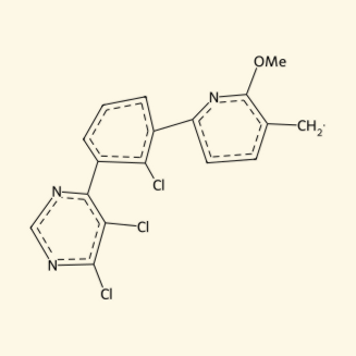 [CH2]c1ccc(-c2cccc(-c3ncnc(Cl)c3Cl)c2Cl)nc1OC